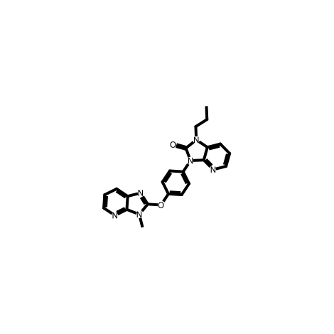 CCCn1c(=O)n(-c2ccc(Oc3nc4cccnc4n3C)cc2)c2ncccc21